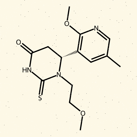 COCCN1C(=S)NC(=O)C[C@@H]1c1cc(C)cnc1OC